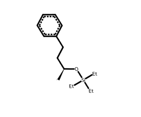 [CH2][C@@H](CCc1ccccc1)O[Si](CC)(CC)CC